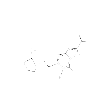 CC(C)c1nc2cc(CN[C@@H]3CCC[C@@H]3O)c(F)c(F)c2o1